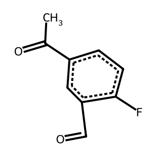 CC(=O)c1ccc(F)c(C=O)c1